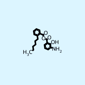 CCCCCCc1ccccc1C(=O)OC(=O)c1cccc(N)c1O